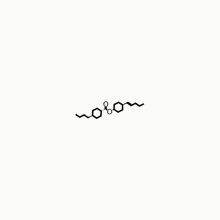 CCCC=C[C@H]1CC[C@H](OC(=O)[C@H]2CC[C@H](CCCC)CC2)CC1